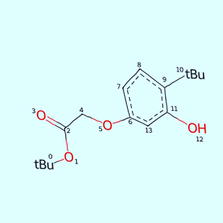 CC(C)(C)OC(=O)COc1ccc(C(C)(C)C)c(O)c1